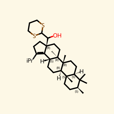 CC(C)C1=C2[C@H]3CC[C@@H]4[C@@]5(C)CC[C@H](C)C(C)(C)[C@@H]5CC[C@@]4(C)[C@]3(C)CC[C@@]2(C(O)C2SCCCS2)CC1